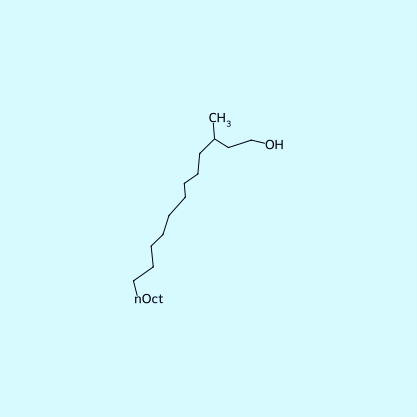 CCCCCCCCCCCCCCCCCC(C)CCO